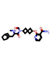 CNC(CC1CC2CCC1C2)C(=O)N(C=O)[C@H]1CC2(C[C@H](Oc3ncccc3C(N)=O)C2)C1